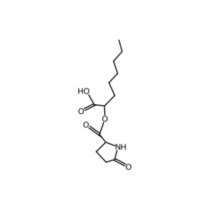 CCCCCCC(OC(=O)C1CCC(=O)N1)C(=O)O